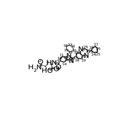 NC(=O)CC[C@H](NC(=O)c1ccc2c(c1)nc(-c1ccc3nc(-c4ccccc4)cnc3c1)n2C1CCCCC1)C(=O)O